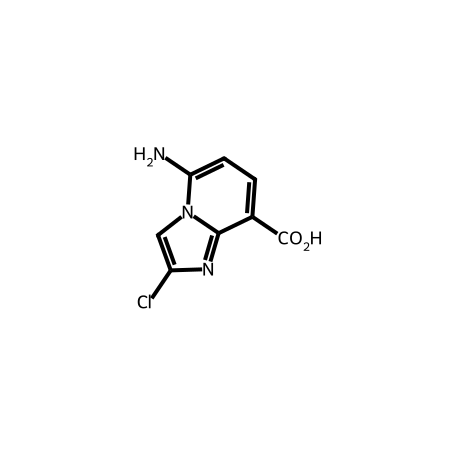 Nc1ccc(C(=O)O)c2nc(Cl)cn12